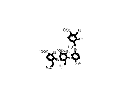 Brc1cc[c]([Sn+3])cc1.C=Cc1ccc(C(=O)[O-])c(CC)c1CC.C=Cc1ccc(C(=O)[O-])c(CC)c1CC.C=Cc1ccc(C(=O)[O-])c(CC)c1CC